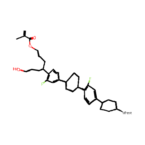 C=C(C)C(=O)OCCCC(CCCO)c1ccc(C2CCC(c3ccc(C4CCC(CCCCC)CC4)cc3F)CC2)cc1F